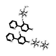 F[P-](F)(F)(F)(F)F.F[P-](F)(F)(F)(F)F.F[P-](F)(F)(F)(F)F.Fc1ccc(-c2ccccn2)c(F)c1.Fc1ccc(-c2ccccn2)c(F)c1.[Ir+3]